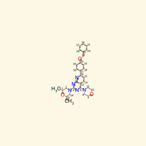 CC1CN(c2nc(N3CCOCC3)c3ccc(-c4ccc(OCc5ccccc5)cc4)nc3n2)CC(C)O1